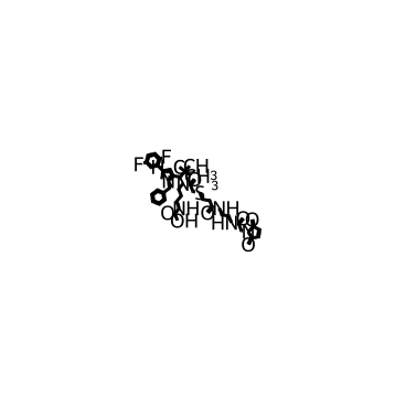 CC(C)(C)[C@H](c1cc(-c2cc(F)ccc2F)cn1Cc1ccccc1)N(CCCNC(=O)O)C(=O)CSCCC(=O)NCCNC(=O)CN1C(=O)C=CC1=O